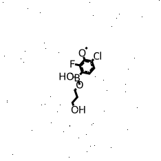 COc1c(Cl)ccc(B(O)OCCCO)c1F